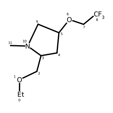 CCOCC1CC(OCC(F)(F)F)CN1C